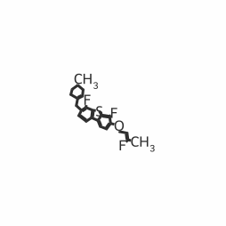 C/C(F)=C/COc1ccc2c(sc3c(F)c(CC4=CCC(C)CC4)ccc32)c1F